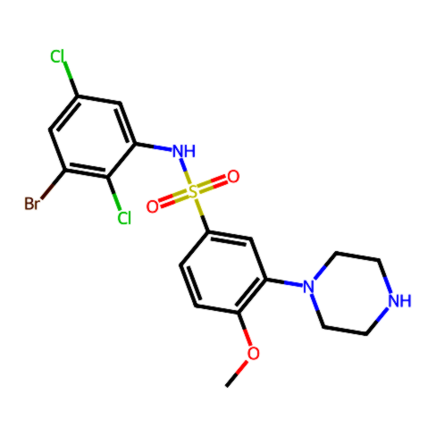 COc1ccc(S(=O)(=O)Nc2cc(Cl)cc(Br)c2Cl)cc1N1CCNCC1